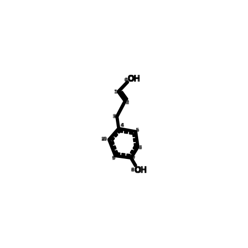 OC=CCc1ccc(O)cc1